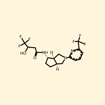 O=C(CC(O)C(F)(F)F)N[C@H]1CC[C@@H]2CN(c3cccc(C(F)(F)F)n3)C[C@@H]21